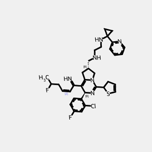 CC(F)C/C=C\C(=N)C1=C2C[C@H](CNCCNC3(c4ccccn4)CC3)CN2C(C2CC=CS2)=N[C@H]1c1ccc(F)cc1Cl